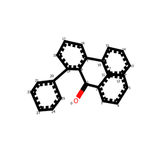 O=C(c1ccccc1)c1c(-c2ccccc2)cccc1-c1ccccc1